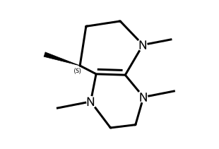 C[C@H]1CCN(C)C2=C1N(C)CCN2C